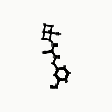 COc1cc(CNC(=O)N[C@@H]2CC3CC[C@H]32)ccn1